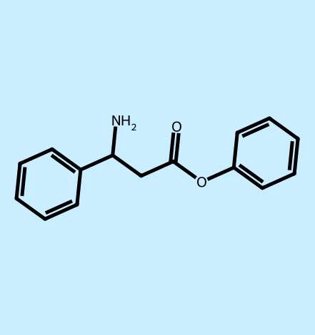 NC(CC(=O)Oc1ccccc1)c1ccccc1